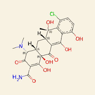 CN(C)[C@H]1C(=O)C(C(N)=O)=C(O)[C@@]2(O)C(=O)C3=C(O)c4c(O)ccc(Cl)c4[C@@](C)(O)[C@H]3C[C@@H]12